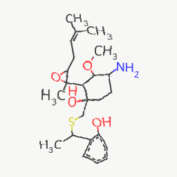 COC1C(N)CCC(O)(CSC(C)c2ccccc2O)C1C1(C)OC1CC=C(C)C